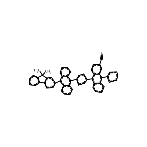 CC1(C)c2ccccc2-c2ccc(-c3c4ccccc4c(-c4ccc(-c5c6ccccc6c(-c6ccccc6)c6cc(C#N)ccc56)cc4)c4ccccc34)cc21